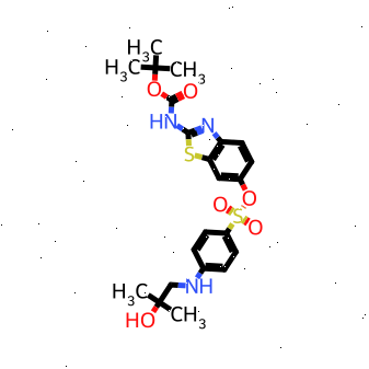 CC(C)(O)CNc1ccc(S(=O)(=O)Oc2ccc3nc(NC(=O)OC(C)(C)C)sc3c2)cc1